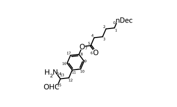 CCCCCCCCCCCCCCC(=O)Oc1ccc(CC(N)C=O)cc1